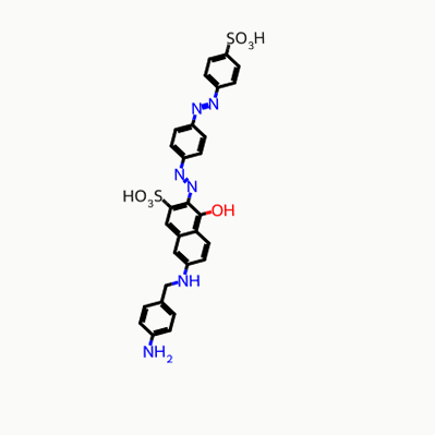 Nc1ccc(CNc2ccc3c(O)c(N=Nc4ccc(N=Nc5ccc(S(=O)(=O)O)cc5)cc4)c(S(=O)(=O)O)cc3c2)cc1